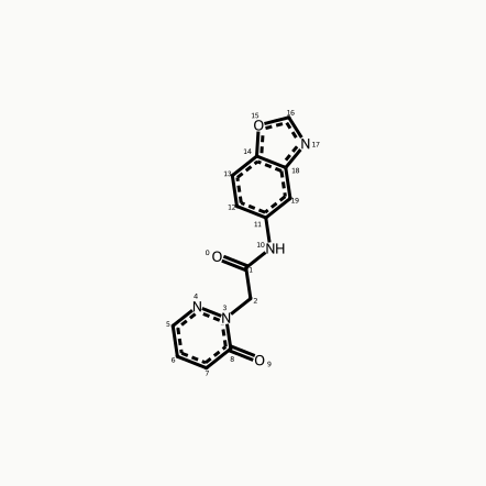 O=C(Cn1ncccc1=O)Nc1ccc2ocnc2c1